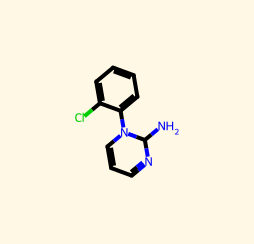 NC1N=CC=CN1c1ccccc1Cl